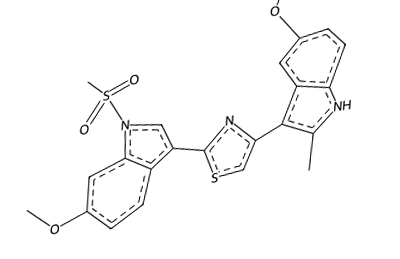 COc1ccc2[nH]c(C)c(-c3csc(-c4cn(S(C)(=O)=O)c5cc(OC)ccc45)n3)c2c1